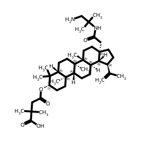 C=C(C)[C@@H]1CC[C@]2(CC(=O)NC(C)(C)CN)CC[C@]3(C)[C@H](CC[C@@H]4[C@@]5(C)CC[C@H](OC(=O)CC(C)(C)C(=O)O)C(C)(C)[C@@H]5CC[C@]43C)[C@@H]12